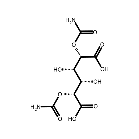 NC(=O)O[C@H](C(=O)O)[C@@H](O)[C@H](O)[C@@H](OC(N)=O)C(=O)O